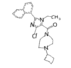 CCn1c(-c2cccc3ccccc23)nc(Cl)c1C(=O)N1CCN(C2CCC2)CC1